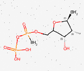 B[C@@H]1OC(COP(B)(=O)OP(=O)(O)O)[C@@H](O)[C@H]1C